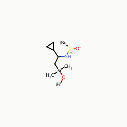 CC(C)O[Si](C)(C)CC(N[S@+]([O-])C(C)(C)C)C1CC1